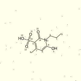 CCCn1c(O)cc(C)c(S(=O)(=O)O)c1=O